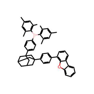 Cc1cc(C)c(B(c2ccc(C34CC5CC(C3)CC(c3ccc(-c6cccc7c6oc6ccccc67)cc3)(C5)C4)cc2)c2c(C)cc(C)cc2C)c(C)c1